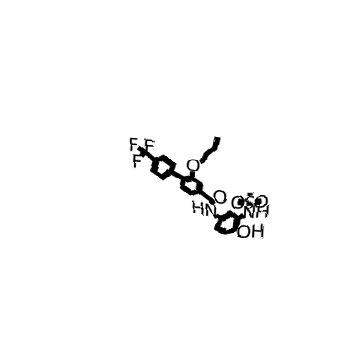 CCCCOc1cc(C(=O)Nc2ccc(O)c(NS(C)(=O)=O)c2)ccc1-c1ccc(C(F)(F)F)cc1